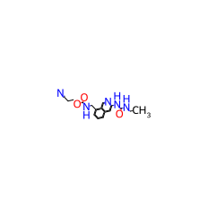 CCNC(=O)Nc1cc2cccc(CNC(=O)OCCC#N)c2cn1